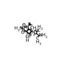 Cc1c(N2CC(C)C(C(C)N)C2)c(F)cc2c(=O)n(N)c(=O)n(C3CC3)c12.Cl